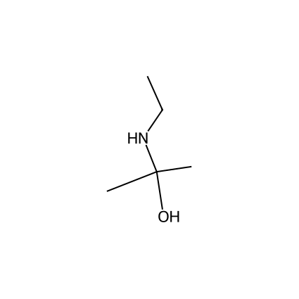 CCNC(C)(C)O